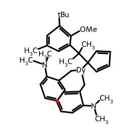 COc1c(C(C)(C)C)cc(C)cc1C(C)(C)[C]1([Dy]([CH2]c2ccccc2N(C)C)[CH2]c2ccccc2N(C)C)C=CC=C1